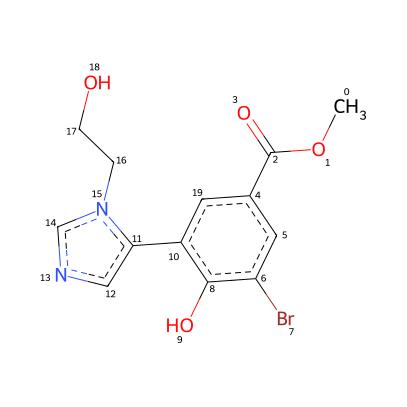 COC(=O)c1cc(Br)c(O)c(-c2cncn2CCO)c1